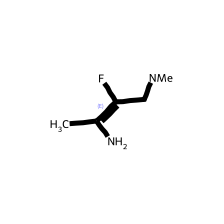 CNC/C(F)=C(/C)N